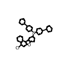 Clc1cc2oc3ccc(N(c4ccc(-c5ccccc5)cc4)c4ccc(-c5ccccc5)cc4)cc3c2c2ccccc12